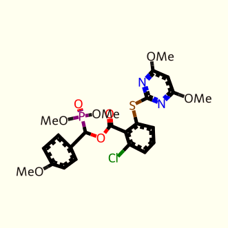 COc1ccc(C(OC(=O)c2c(Cl)cccc2Sc2nc(OC)cc(OC)n2)P(=O)(OC)OC)cc1